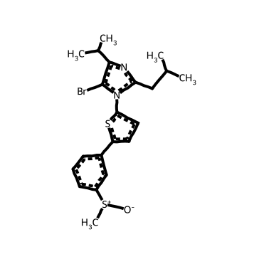 CC(C)Cc1nc(C(C)C)c(Br)n1-c1ccc(-c2cccc([S+](C)[O-])c2)s1